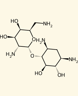 NC[C@H]1O[C@H](O[C@H]2[C@H](O)[C@@H](O)[C@H](N)C[C@@H]2N)[C@H](N)[C@@H](O)[C@H]1O